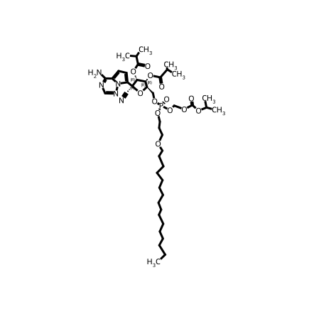 CCCCCCCCCCCCCCCCOCCCOP(=O)(OCOC(=O)OC(C)C)OC[C@H]1O[C@@](C#N)(c2ccc3c(N)ncnn23)[C@H](OC(=O)C(C)C)[C@@H]1OC(=O)C(C)C